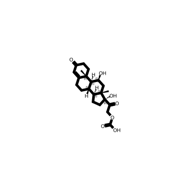 C[C@]12CCC(=O)C=C1CC[C@@H]1[C@@H]2[C@@H](O)C[C@@]2(C)[C@H]1CC[C@]2(O)C(=O)COC(=O)O